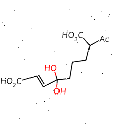 CC(=O)C(CCCC(O)(O)C=CC(=O)O)C(=O)O